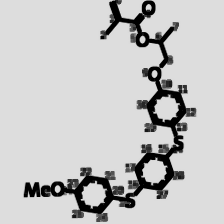 C=C(C)C(=O)OC(C)COc1ccc(Sc2ccc(Sc3ccc(OC)cc3)cc2)cc1